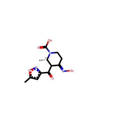 Cc1cc(C(=O)C2C(=NO)CCN(C(=O)O)[C@H]2C)no1